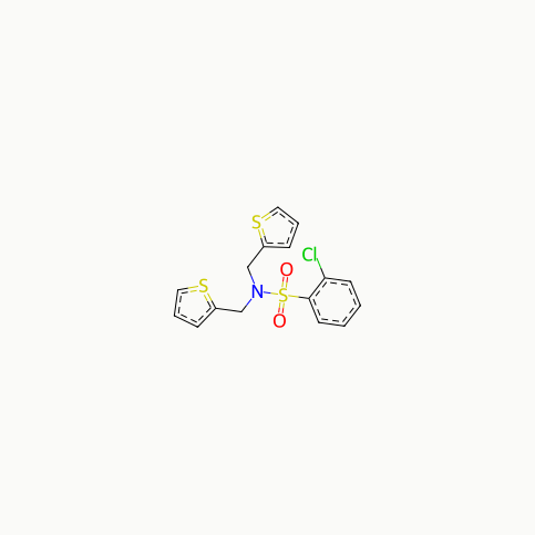 O=S(=O)(c1ccccc1Cl)N(Cc1cccs1)Cc1cccs1